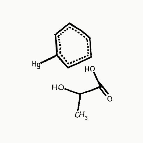 CC(O)C(=O)O.[Hg][c]1ccccc1